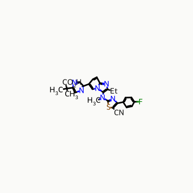 CCc1nc2ccc(-c3cnc(C(C)(C)C(=O)O)cn3)cn2c1N(C)c1nc(-c2ccc(F)cc2)c(C#N)s1